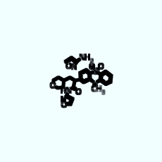 CN1c2ccccc2S(=O)(=O)c2ccc(C(CC3CCOCC3)C(=O)Nc3ccon3)cc21.Nc1ccon1